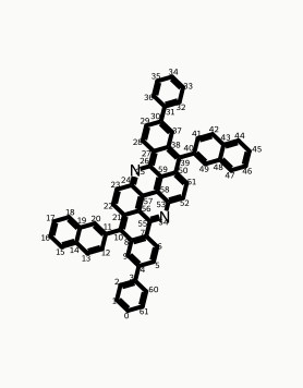 c1ccc(-c2ccc3c(c2)c(-c2ccc4ccccc4c2)c2ccc4nc5c6ccc(-c7ccccc7)cc6c(-c6ccc7ccccc7c6)c6ccc7nc3c2c4c7c65)cc1